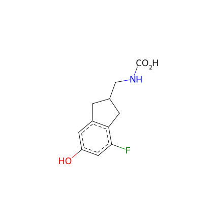 O=C(O)NCC1Cc2cc(O)cc(F)c2C1